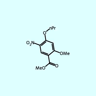 CCCOc1cc(OC)c(C(=O)OC)cc1[N+](=O)[O-]